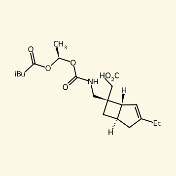 CCC1=C[C@@H]2[C@@H](C1)C[C@]2(CNC(=O)O[C@H](C)OC(=O)C(C)CC)CC(=O)O